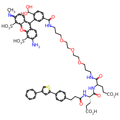 C/N=c1\ccc2c(-c3cc(C(=O)NCCCOCCOCCOCCCNC(=O)C(CCC(=O)O)NC(=O)[C@H](CCC(=O)O)NC(=O)CCc4ccc(-c5cc(-c6ccccc6)cs5)cc4)ccc3C(O)O)c3ccc(N)c(S(=O)(=O)O)c3oc-2c1S(=O)(=O)O